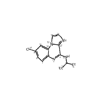 CCC(CC)Nc1nc2ccc(Cl)cc2n2ccnc12